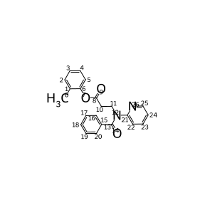 Cc1ccccc1OC(=O)CCN(C(=O)C1=CC=C=C=C1)c1ccccn1